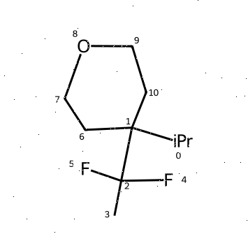 CC(C)C1(C(C)(F)F)CCOCC1